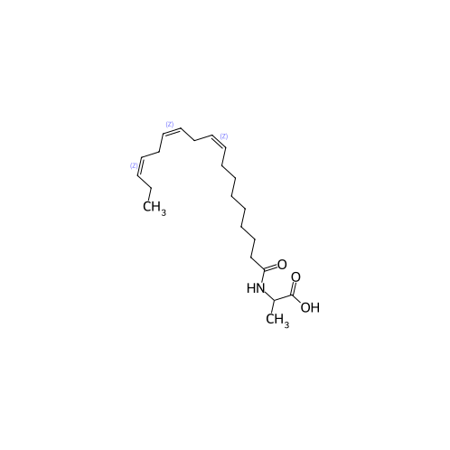 CC/C=C\C/C=C\C/C=C\CCCCCCCC(=O)NC(C)C(=O)O